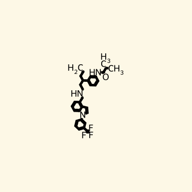 C=CCC(CCNCc1cccc2c1ccn2-c1cccc(C(F)(F)F)c1)c1cccc(NC(=O)C(C)C)c1